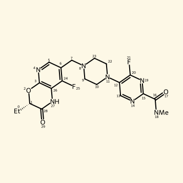 CC[C@@H]1Oc2ncc(CN3CCN(c4cnc(C(=O)NC)nc4F)CC3)c(F)c2NC1=O